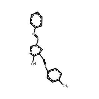 Cc1ccc(/N=C/c2cc(/N=N/c3ccccc3)ccc2O)cc1